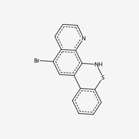 Brc1cc2c(c3ncccc13)NSc1ccccc1-2